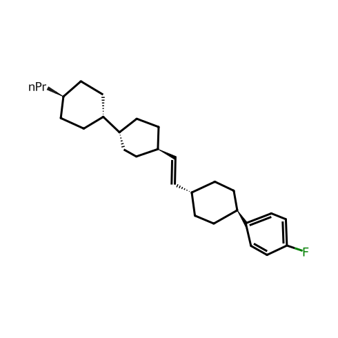 CCC[C@H]1CC[C@H]([C@H]2CC[C@H](C=C[C@H]3CC[C@H](c4ccc(F)cc4)CC3)CC2)CC1